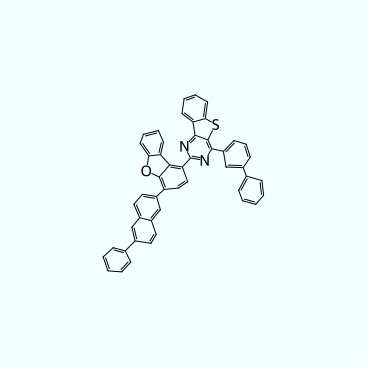 c1ccc(-c2cccc(-c3nc(-c4ccc(-c5ccc6cc(-c7ccccc7)ccc6c5)c5oc6ccccc6c45)nc4c3sc3ccccc34)c2)cc1